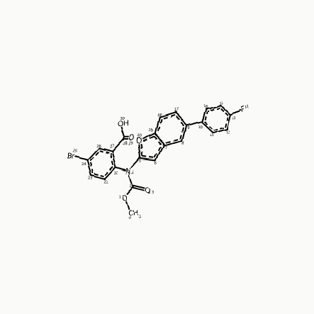 COC(=O)N(c1cc2cc(-c3ccc(F)cc3)ccc2o1)c1ccc(Br)cc1C(=O)O